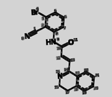 N#Cc1c(Br)cccc1NC(=O)C=CC1=NCCc2ccccc21